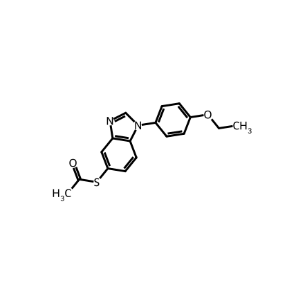 CCOc1ccc(-n2cnc3cc(SC(C)=O)ccc32)cc1